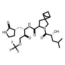 CC(C)C[C@@H](O)C(=O)N1CC2(CC1C(=O)N[C@@H](C[C@@H]1CCNC1=O)C(=O)COC(F)(F)F)C1CC2C1